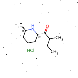 CCC(C)C(=O)[C@@H]1CCC[C@@H](C)N1.Cl